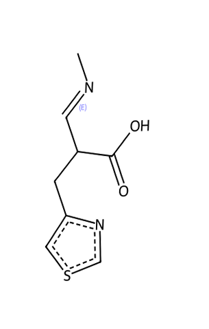 C/N=C/C(Cc1cscn1)C(=O)O